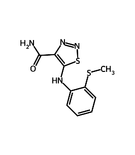 CSc1ccccc1Nc1snnc1C(N)=O